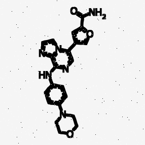 NC(=O)c1cc(-c2cnc(Nc3ccc(N4CCOCC4)cc3)c3nccn23)co1